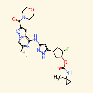 Cc1cn2nc(C(=O)N3CCOCC3)cc2c(Nc2cc([C@H]3C[C@@H](F)[C@@H](OC(=O)NC4(C)CC4)C3)[nH]n2)n1